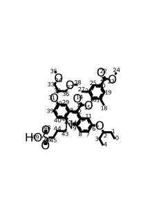 CCC(CC)Oc1ccc2c(c1)c(C(=O)Oc1c(C)cc(C(=O)OC)cc1C)c1cc(OC(COC)COC)ccc1[n+]2CCCS(=O)(=O)O